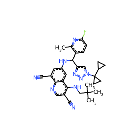 Cc1nc(F)ccc1C(Nc1cc(C#N)c2ncc(C#N)c(NCC(C)(C)C)c2c1)c1cn(C2(C3CC3)CC2)nn1